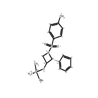 Cc1ccc(S(=O)(=O)N2CC(O[Si](C)(C)C(C)(C)C)[C@H]2c2ccccc2)cc1